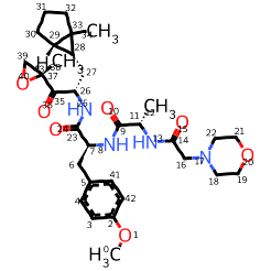 COc1ccc(C[C@H](NC(=O)[C@H](C)NC(=O)CN2CCOCC2)C(=O)N[C@@H](C[C@@H]2[C@@H]3CCCC23C)C(=O)[C@@]2(C)CO2)cc1